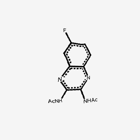 CC(=O)Nc1nc2ccc(F)cc2nc1NC(C)=O